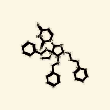 O=c1ccn([C@@H]2O[C@H](COCc3ccccc3)[C@@H](OCc3ccccc3)[C@@]2(CF)OCc2ccccc2)c(=O)[nH]1